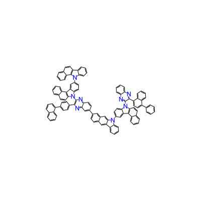 c1ccc(-c2ccc(-c3nc4ccccc4nc3-n3c4ccc(-n5c6ccccc6c6cc7ccc(-c8ccc9nc(-n%10c%11ccc(-n%12c%13ccccc%13c%13ccc%14ccccc%14c%13%12)cc%11c%11c%12ccccc%12ccc%11%10)c(-c%10ccc(-c%11cccc%12ccccc%11%12)cc%10)nc9c8)cc7cc65)cc4c4c5ccccc5ccc43)c3ccccc23)cc1